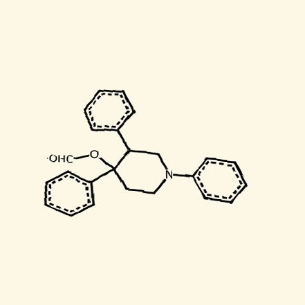 O=[C]OC1(c2ccccc2)CCN(c2ccccc2)CC1c1ccccc1